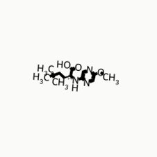 COc1cnc(N[C@@H](CCC(C)(C)C)C(=O)O)cn1